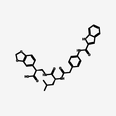 CC(C)C[C@H](NC(=O)Cc1ccc(NC(=O)c2cc3ccccc3[nH]2)cc1)C(=O)NC[C@@H](C(=O)O)c1ccc2c(c1)OCO2